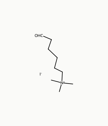 C[N+](C)(C)CCCCCC=O.[I-]